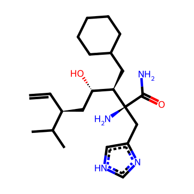 C=C[C@@H](C[C@H](O)[C@@H](CC1CCCCC1)[C@@](N)(Cc1c[nH]cn1)C(N)=O)C(C)C